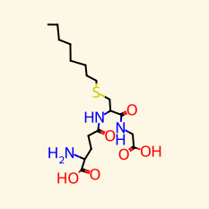 CCCCCCCCSCC(NC(=O)CCC(N)C(=O)O)C(=O)NCC(=O)O